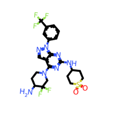 NC1CCN(c2nc(NC3CCS(=O)(=O)CC3)nc3c2cnn3-c2cccc(C(F)(F)F)c2)CC1(F)F